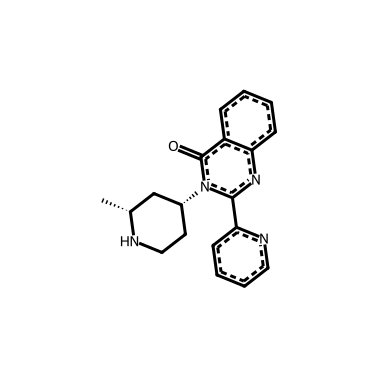 C[C@@H]1C[C@H](n2c(-c3ccccn3)nc3ccccc3c2=O)CCN1